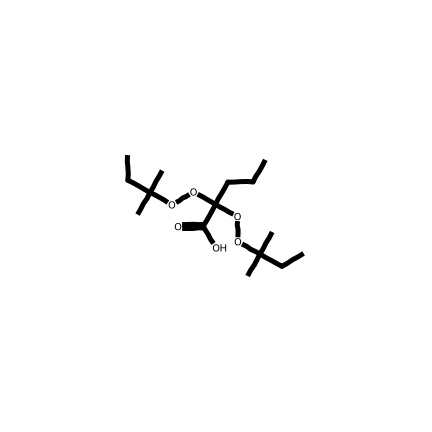 CCCC(OOC(C)(C)CC)(OOC(C)(C)CC)C(=O)O